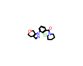 O=C(c1cccc(-n2ncc3c2COCC3)c1Cl)N1CCCCC1